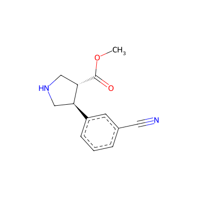 COC(=O)[C@H]1CNC[C@@H]1c1cccc(C#N)c1